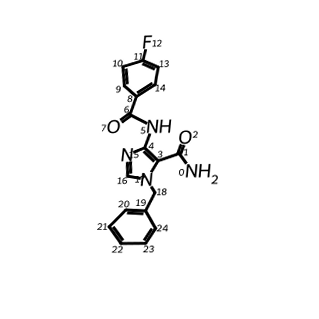 NC(=O)c1c(NC(=O)c2ccc(F)cc2)ncn1Cc1ccccc1